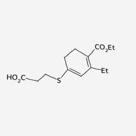 CCOC(=O)C1=C(CC)C=C(SCCC(=O)O)CC1